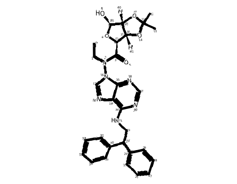 CCN(C(=O)[C@H]1O[C@@H](O)[C@@H]2OC(C)(C)O[C@@H]21)n1cnc2c(NCC(c3ccccc3)c3ccccc3)ncnc21